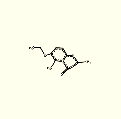 CCOc1ccc2nc(C)cc(=O)n2c1C